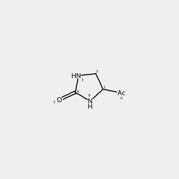 CC(=O)C1CNC(=O)N1